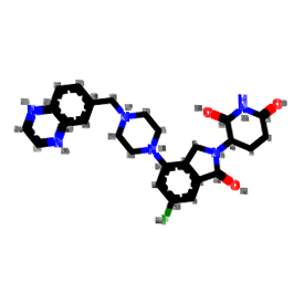 O=C1CCC(N2Cc3c(cc(F)cc3N3CCN(Cc4ccc5nccnc5c4)CC3)C2=O)C(=O)N1